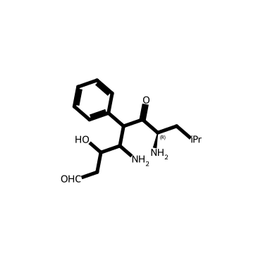 CC(C)C[C@@H](N)C(=O)C(c1ccccc1)C(N)C(O)CC=O